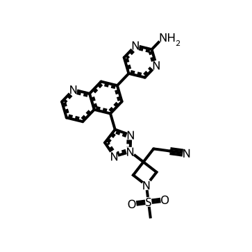 CS(=O)(=O)N1CC(CC#N)(n2ncc(-c3cc(-c4cnc(N)nc4)cc4ncccc34)n2)C1